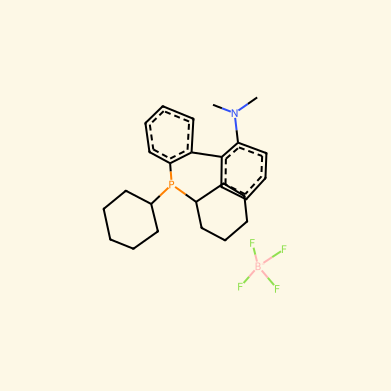 CN(C)c1ccccc1-c1ccccc1P(C1CCCCC1)C1CCCCC1.F[B-](F)(F)F